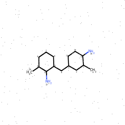 CC1CC(CC2CCCC(C)C2N)CCC1N